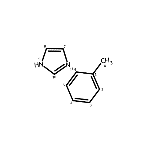 Cc1ccccc1.c1c[nH]cn1